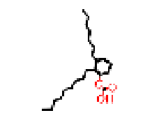 CCCCCCCCCc1c(CCCCCCC)cccc1OC(=O)O